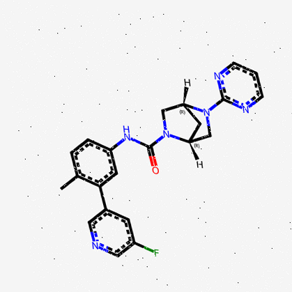 Cc1ccc(NC(=O)N2C[C@H]3C[C@@H]2CN3c2ncccn2)cc1-c1cncc(F)c1